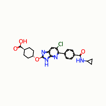 O=C(NC1CC1)c1ccc(-c2nc3[nH]c(O[C@H]4CC[C@H](C(=O)O)CC4)nc3cc2Cl)cc1